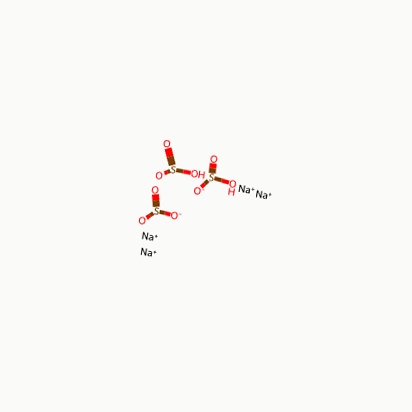 O=S([O-])O.O=S([O-])O.O=S([O-])[O-].[Na+].[Na+].[Na+].[Na+]